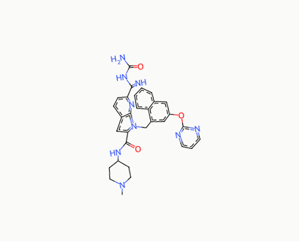 CN1CCC(NC(=O)c2cc3ccc(C(=N)NC(N)=O)nc3n2Cc2cc(Oc3ncccn3)cc3ccccc23)CC1